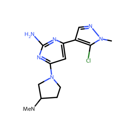 CNC1CCN(c2cc(-c3cnn(C)c3Cl)nc(N)n2)C1